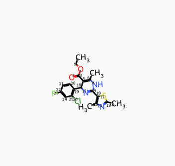 CCOC(=O)C1=C(C)NC(c2sc(C)nc2C)=NC1c1ccc(F)cc1Cl